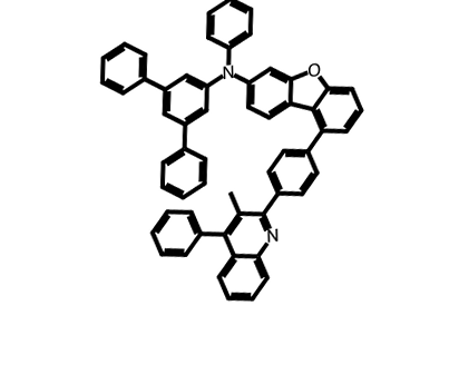 Cc1c(-c2ccc(-c3cccc4oc5cc(N(c6ccccc6)c6cc(-c7ccccc7)cc(-c7ccccc7)c6)ccc5c34)cc2)nc2ccccc2c1-c1ccccc1